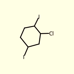 ClC1CC(I)CCC1I